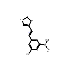 CC(C)c1cc(/C=C/C2=CSCC2)cc(B(O)O)c1